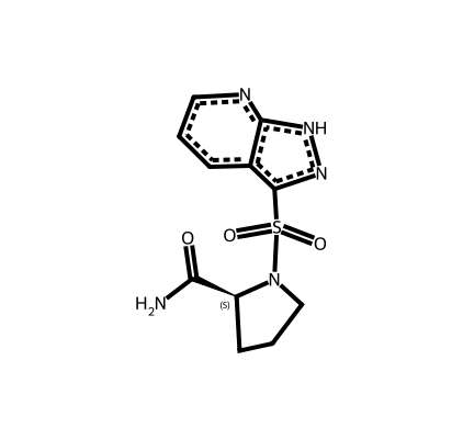 NC(=O)[C@@H]1CCCN1S(=O)(=O)c1n[nH]c2ncccc12